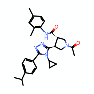 CC(=O)N1C[C@@H](C(=O)Nc2ccc(C)cc2C)[C@H](c2nnc(-c3ccc(C(C)C)cc3)n2C2CC2)C1